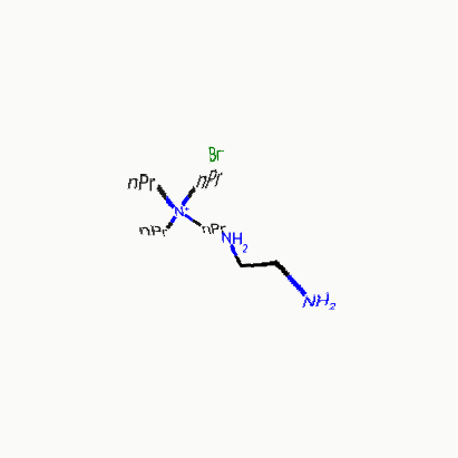 CCC[N+](CCC)(CCC)CCC.NCCN.[Br-]